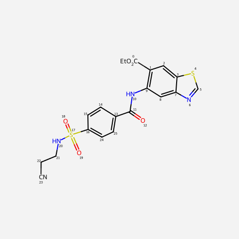 CCOC(=O)c1cc2scnc2cc1NC(=O)c1ccc(S(=O)(=O)NCCC#N)cc1